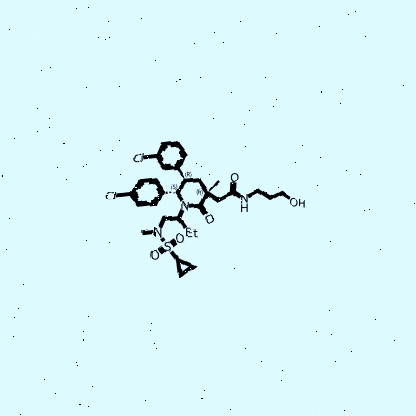 CCC(CN(C)S(=O)(=O)C1CC1)N1C(=O)[C@@](C)(CC(=O)NCCCO)C[C@H](c2cccc(Cl)c2)[C@H]1c1ccc(Cl)cc1